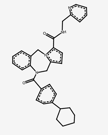 O=C(NCc1ccccn1)c1ccc2n1Cc1ccccc1N(C(=O)c1ccc(C3CCCCC3)cc1)C2